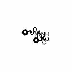 COC(=O)C1(Cc2ccccc2)CNC(C(C)NC(=O)OCc2ccccc2)=N1